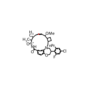 CCCc1cc(Cl)cc(F)c1C1COc2ccc3cc2N(C1)CC1CCC1C(OC)C1=CC(C1)C(C)C(C)[S+]([O-])NC3=O